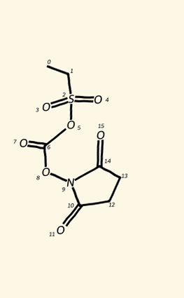 CCS(=O)(=O)OC(=O)ON1C(=O)CCC1=O